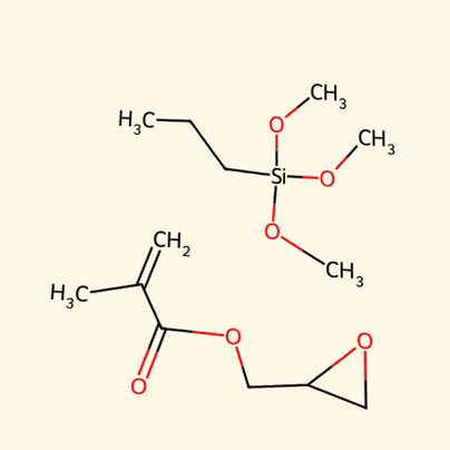 C=C(C)C(=O)OCC1CO1.CCC[Si](OC)(OC)OC